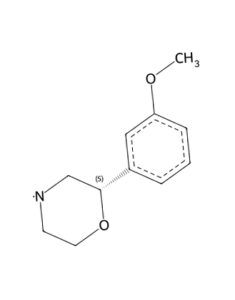 COc1cccc([C@H]2C[N]CCO2)c1